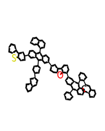 c1ccc(-c2c3ccccc3c(-c3ccccc3-c3ccc4ccccc4c3)c3cc(-c4cccc5c4oc4ccc(-c6ccc7c(-c8cccc9ccccc89)c8ccc(-c9ccc%10sc%11ccccc%11c%10c9)cc8c(-c8ccc(-c9ccc%10ccccc%10c9)cc8)c7c6)cc45)ccc23)cc1